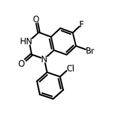 O=c1[nH]c(=O)n(-c2ccccc2Cl)c2cc(Br)c(F)cc12